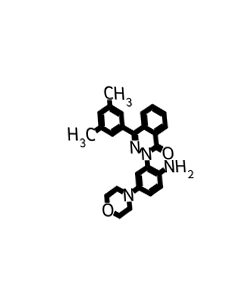 Cc1cc(C)cc(-c2nn(-c3cc(N4CCOCC4)ccc3N)c(=O)c3ccccc23)c1